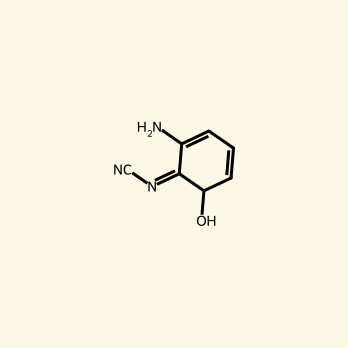 N#CN=C1C(N)=CC=CC1O